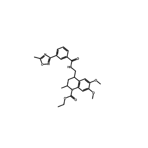 CCOC(=O)N1c2cc(OC)c(OC)cc2C(CNC(=O)c2cccc(-c3noc(C)n3)c2)CC1C